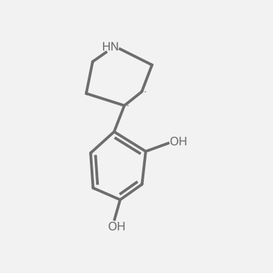 Oc1ccc([C]2[CH]CNCC2)c(O)c1